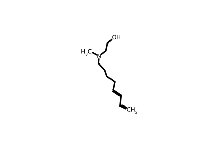 C=CC=CCCCCN(C)CCO